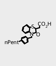 CCCCCc1ccc(CN2C(=O)C(CC(=O)O)Sc3ccccc32)cc1